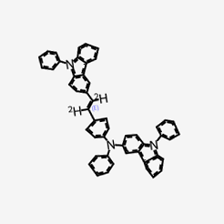 [2H]/C(=C(/[2H])c1ccc2c(c1)c1ccccc1n2-c1ccccc1)c1ccc(N(c2ccccc2)c2ccc3c(c2)c2ccccc2n3-c2ccccc2)cc1